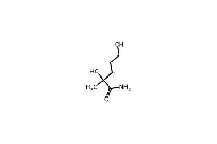 CC(O)([CH]CCO)C(N)=O